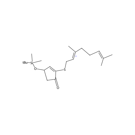 CC(C)=CCC/C(C)=C/CSC1=CC(O[Si](C)(C)C(C)(C)C)CC1=O